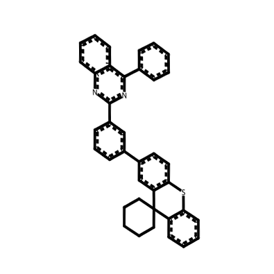 c1ccc(-c2nc(-c3cccc(-c4ccc5c(c4)C4(CCCCC4)c4ccccc4S5)c3)nc3ccccc23)cc1